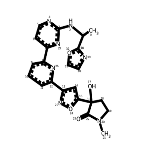 CC(Nc1nccc(-c2cccc(-c3cc(C4(O)CCN(C)C4=O)on3)n2)n1)c1ncco1